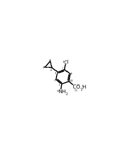 Nc1cc(C2CC2)c(Cl)cc1C(=O)O